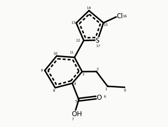 CCCc1c(C(=O)O)cccc1-c1ccc(Cl)s1